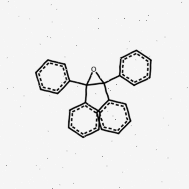 c1ccc(C2(c3ccccc3)OC2(c2ccccc2)c2ccccc2)cc1